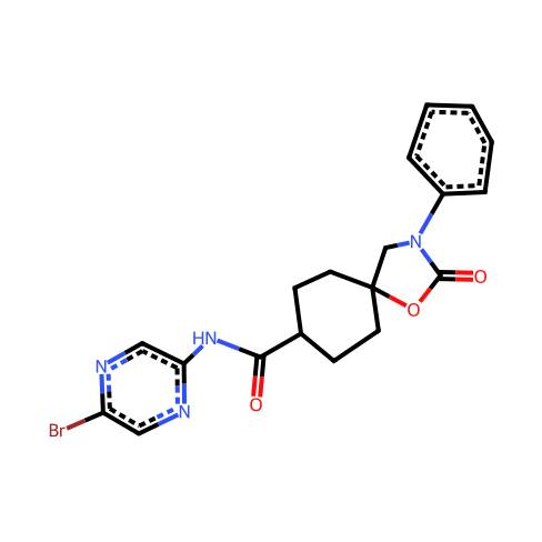 O=C(Nc1cnc(Br)cn1)C1CCC2(CC1)CN(c1ccccc1)C(=O)O2